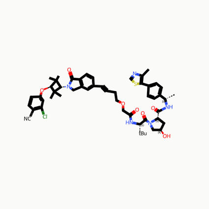 Cc1ncsc1-c1ccc([C@H](C)NC(=O)[C@@H]2C[C@@H](O)CN2C(=O)[C@@H](NC(=O)COCCC#Cc2ccc3c(c2)CN([C@H]2C(C)(C)[C@H](Oc4ccc(C#N)c(Cl)c4)C2(C)C)C3=O)C(C)(C)C)cc1